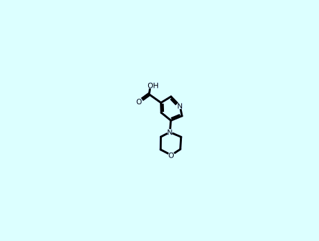 O=C(O)c1cncc(N2CCOCC2)c1